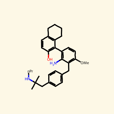 CCCNC(C)(C)Cc1ccc(Cc2c(OC)ccc(-c3c(O)ccc4c3CCCC4)c2N)cc1